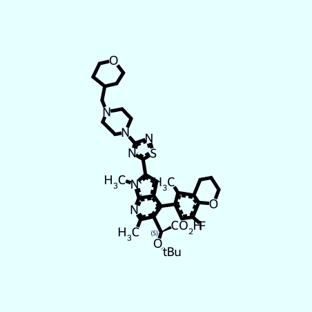 Cc1nc2c(cc(-c3nc(N4CCN(CC5CCOCC5)CC4)ns3)n2C)c(-c2cc(F)c3c(c2C)CCCO3)c1[C@H](OC(C)(C)C)C(=O)O